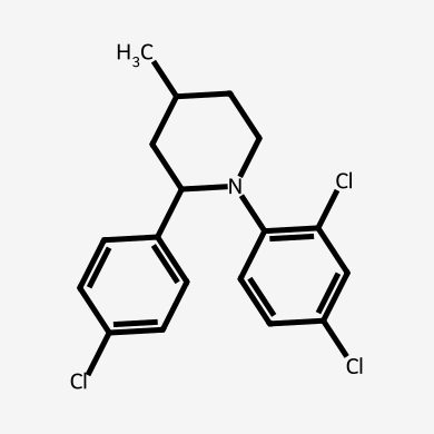 CC1CCN(c2ccc(Cl)cc2Cl)C(c2ccc(Cl)cc2)C1